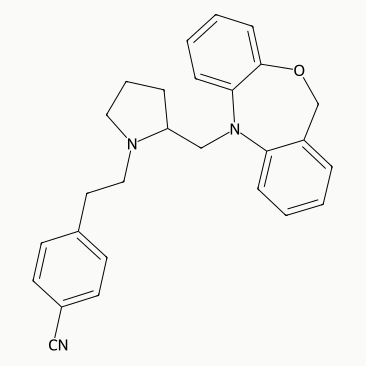 N#Cc1ccc(CCN2CCCC2CN2c3ccccc3COc3ccccc32)cc1